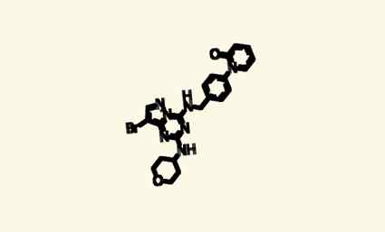 O=c1ccccn1-c1ccc(CNc2nc(NC3CCOCC3)nc3c(Br)cnn23)cc1